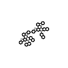 c1ccc2cc(N3c4cc5ccccc5cc4B4c5c3cc3c(oc6cc(-c7ccc8c9cccc%10c9n(c8c7)B7c8ccc9ccccc9c8N(c8cccc9ccccc89)c8cc9c(oc%11ccccc%119)c-%10c87)ccc63)c5-c3cccc5c6ccccc6n4c35)ccc2c1